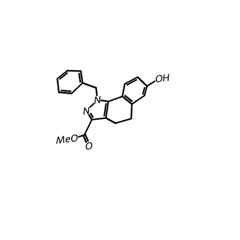 COC(=O)c1nn(Cc2ccccc2)c2c1CCc1cc(O)ccc1-2